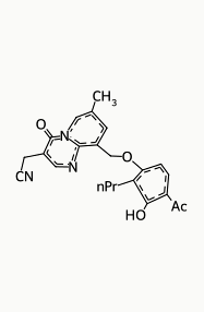 CCCc1c(OCc2cc(C)cn3c(=O)c(CC#N)cnc23)ccc(C(C)=O)c1O